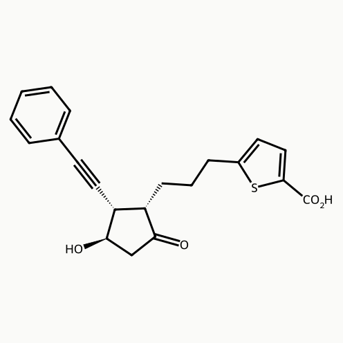 O=C(O)c1ccc(CCC[C@@H]2C(=O)C[C@@H](O)[C@@H]2C#Cc2ccccc2)s1